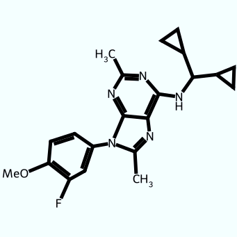 COc1ccc(-n2c(C)nc3c(NC(C4CC4)C4CC4)nc(C)nc32)cc1F